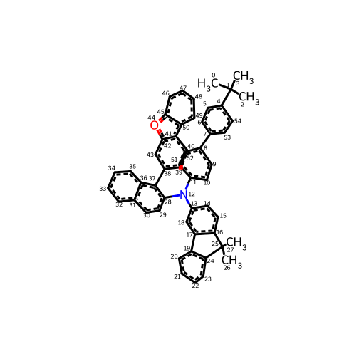 CC(C)(C)c1ccc(-c2ccc(N(c3ccc4c(c3)-c3ccccc3C4(C)C)c3ccc4ccccc4c3-c3ccc4c(c3)oc3ccccc34)cc2)cc1